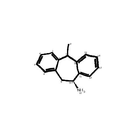 CC1c2ccccc2C[C@H](N)c2ccccc21